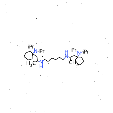 CC(CC1(N(C(C)C)C(C)C)CCCCC1)NCCCCCCNC(C)CC1(N(C(C)C)C(C)C)CCCCC1